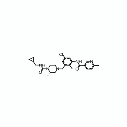 Cc1ccc(C(=O)Nc2cc(Cl)cc(CN3CCN(C(=O)NCC4CC4)[C@@H](C)C3)c2C)cn1